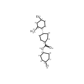 CCC1CCC([C@H]2CC[C@H](C(=O)O[C@H]3CC[C@H](CC)CC3)CC2)C(C)C1